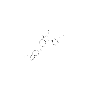 C=CCn1c(=O)c2cnc(Nc3ccc4c(C)n[nH]c4c3)nc2n1-c1cccc(C(C)(C)O)n1